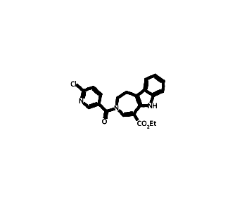 CCOC(=O)C1=CN(C(=O)c2ccc(Cl)nc2)CCc2c1[nH]c1ccccc21